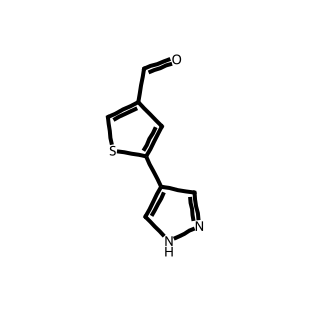 O=Cc1csc(-c2cn[nH]c2)c1